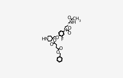 CC(=O)NC[C@H]1CN(c2ccc(OCC3(OC(=O)CCC(=O)OCc4ccccc4)CCNCC3)c(F)c2)C(=O)O1